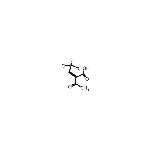 CC(=O)C(=CC(Cl)(Cl)Cl)C(=O)O